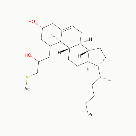 CC(=O)SCC(O)CC1C[C@H](O)CC2=CC[C@H]3[C@@H]4CC[C@H]([C@H](C)CCCC(C)C)[C@@]4(C)CC[C@@H]3[C@]21C